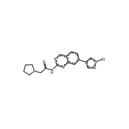 CCn1cc(-c2ccc3cnc(NC(=O)CN4CCCC4)nc3c2)cn1